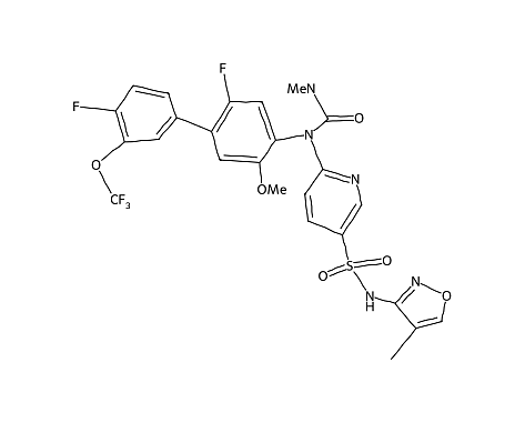 CNC(=O)N(c1ccc(S(=O)(=O)Nc2nocc2C)cn1)c1cc(F)c(-c2ccc(F)c(OC(F)(F)F)c2)cc1OC